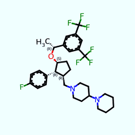 C[C@@H](O[C@H]1CC[C@@H](CN2CCC(N3CCCCC3)CC2)[C@@H]1c1ccc(F)cc1)c1cc(C(F)(F)F)cc(C(F)(F)F)c1